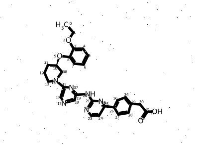 CCOc1ccccc1O[C@@H]1CCCN(c2cncc(Nc3nccc(-c4ccc(CC(=O)O)cc4)n3)n2)C1